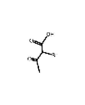 CC(=O)C(Br)C(=O)O